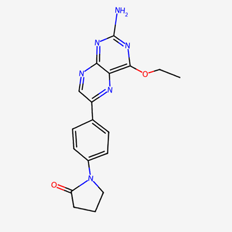 CCOc1nc(N)nc2ncc(-c3ccc(N4CCCC4=O)cc3)nc12